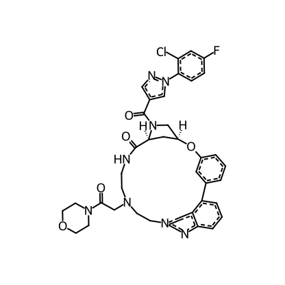 O=C1NCCN(CC(=O)N2CCOCC2)CCn2cc3c(cccc3n2)-c2cccc(c2)O[C@H]2C[C@@H]1N(C(=O)c1cnn(-c3ccc(F)cc3Cl)c1)C2